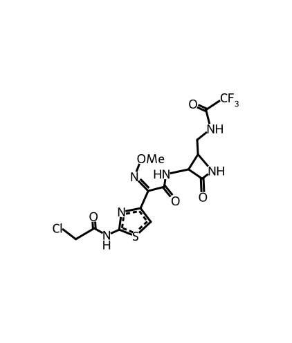 CON=C(C(=O)NC1C(=O)NC1CNC(=O)C(F)(F)F)c1csc(NC(=O)CCl)n1